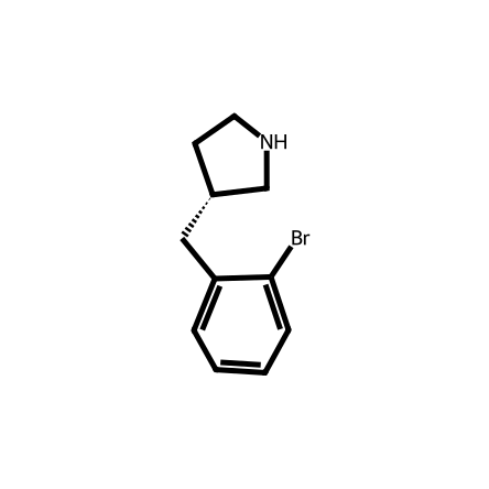 Brc1ccccc1C[C@@H]1CCNC1